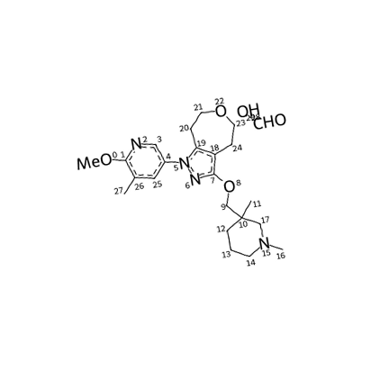 COc1ncc(-n2nc(OCC3(C)CCCN(C)C3)c3c2CCOCC3)cc1C.O=CO